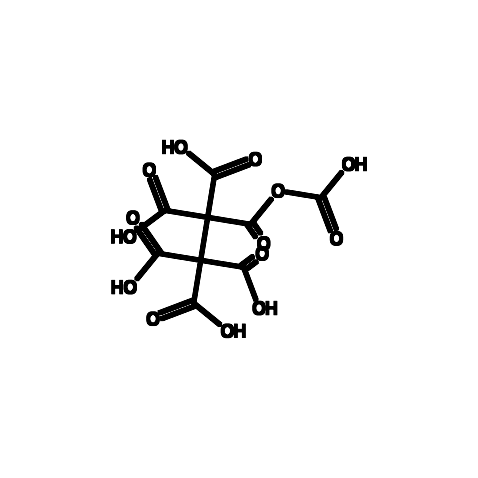 O=C(O)OC(=O)C(C(=O)O)(C(=O)O)C(C(=O)O)(C(=O)O)C(=O)O